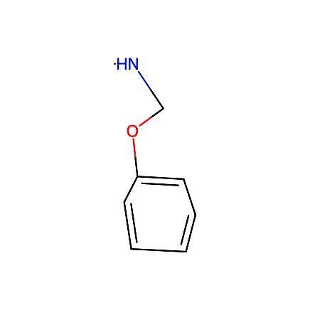 [NH]COc1ccccc1